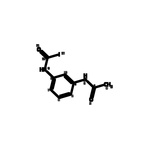 CC(=O)Nc1cccc(NC(=O)I)c1